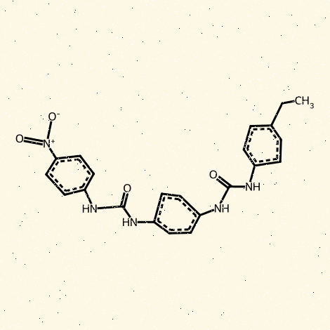 CCc1ccc(NC(=O)Nc2ccc(NC(=O)Nc3ccc([N+](=O)[O-])cc3)cc2)cc1